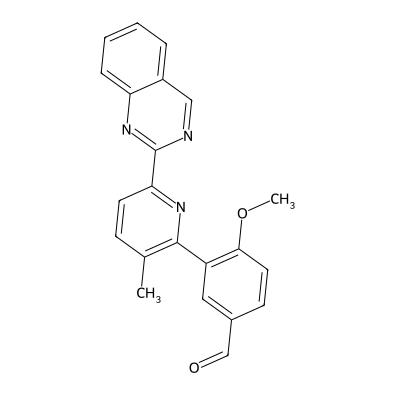 COc1ccc(C=O)cc1-c1nc(-c2ncc3ccccc3n2)ccc1C